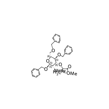 COC(=O)[C@@H](C)O[C@@H]1[C@H](NC(C)=O)[C@@H](OCc2ccccc2)O[C@H](COCc2ccccc2)[C@H]1OCc1ccccc1